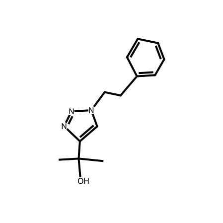 CC(C)(O)c1cn(CCc2ccccc2)nn1